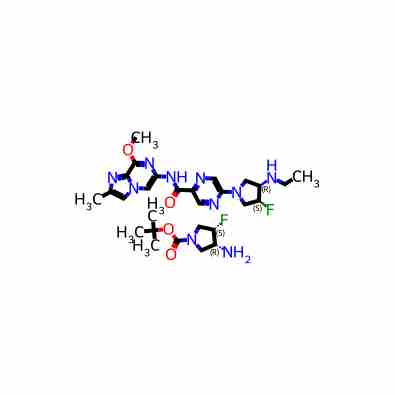 CC(C)(C)OC(=O)N1C[C@@H](N)[C@@H](F)C1.CCN[C@@H]1CN(c2cnc(C(=O)Nc3cn4cc(C)nc4c(OC)n3)cn2)C[C@@H]1F